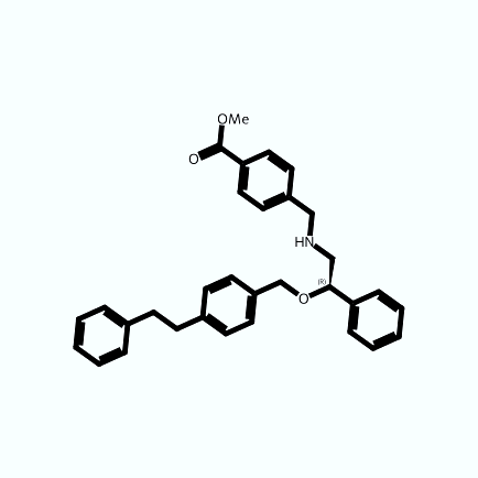 COC(=O)c1ccc(CNC[C@H](OCc2ccc(CCc3ccccc3)cc2)c2ccccc2)cc1